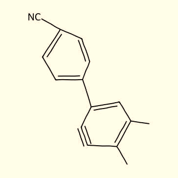 Cc1c#cc(-c2ccc(C#N)cc2)cc1C